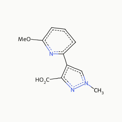 COc1cccc(-c2cn(C)nc2C(=O)O)n1